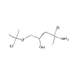 CCC(C)(N)CC(O)COC(C)(C)CC